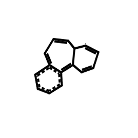 [C]1=CC=CC2=c3ccccc3=CC=CC12